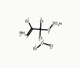 C=C(CC)C(CC)(CC)OS(=O)(=O)O.CCOCC.N